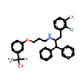 OC(c1cccc(OCCCNC(Cc2cccc(C(F)(F)F)c2Cl)C(c2ccccc2)c2ccccc2)c1)(C(F)(F)F)C(F)(F)F